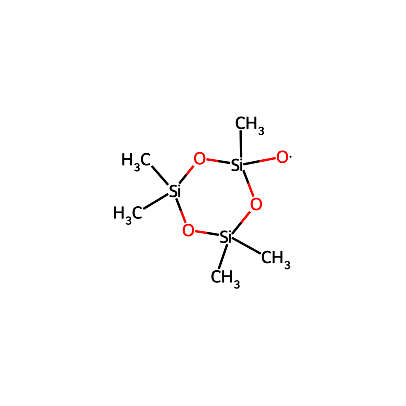 C[Si]1(C)O[Si](C)(C)O[Si](C)([O])O1